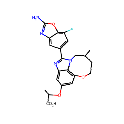 CC1CCOc2cc(OC(C)C(=O)O)cc3nc(-c4cc(F)c5oc(N)nc5c4)n(c23)C1